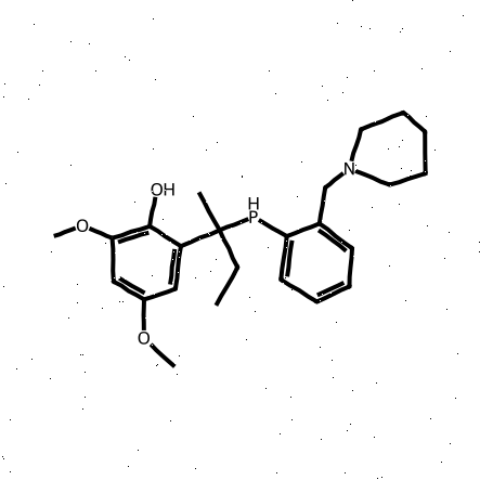 CCC(C)(Pc1ccccc1CN1CCCCC1)c1cc(OC)cc(OC)c1O